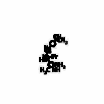 Cc1cc(-c2[nH]nc(-c3cnc(C4CCC(N(C)C)CC4)s3)c2C(C)C)cn(N)c1=N